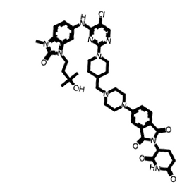 Cn1c(=O)n(CCC(C)(C)O)c2cc(Nc3nc(N4CCC(CN5CCN(c6ccc7c(c6)C(=O)N(C6CCC(=O)NC6=O)C7=O)CC5)CC4)ncc3Cl)ccc21